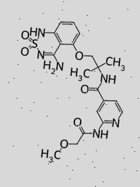 COCC(=O)Nc1cc(C(=O)NC(C)(C)COc2cccc3c2C(N)=NS(=O)(=O)N3)ccn1